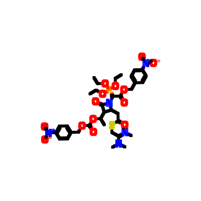 CCOP(OCC)(OCC)=C(C(=O)OCc1ccc([N+](=O)[O-])cc1)N1C(=O)C(C(C)OC(=O)OCc2ccc([N+](=O)[O-])cc2)C1CC(=O)SCC(=NC)N(C)C